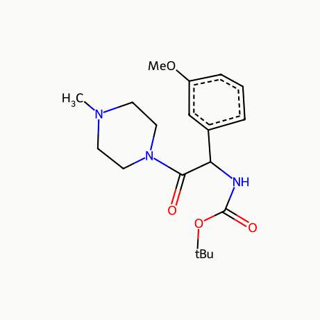 COc1cccc(C(NC(=O)OC(C)(C)C)C(=O)N2CCN(C)CC2)c1